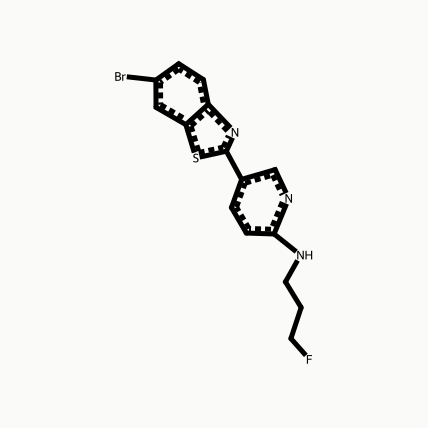 FCCCNc1ccc(-c2nc3ccc(Br)cc3s2)cn1